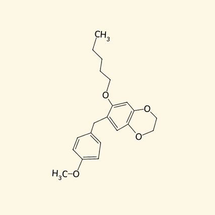 CCCCCOc1cc2c(cc1Cc1ccc(OC)cc1)OCCO2